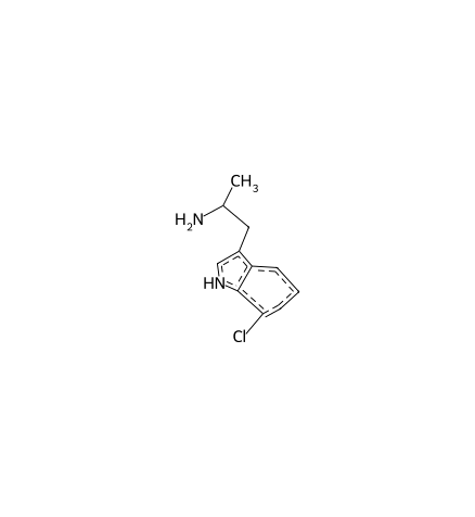 CC(N)Cc1c[nH]c2c(Cl)cccc12